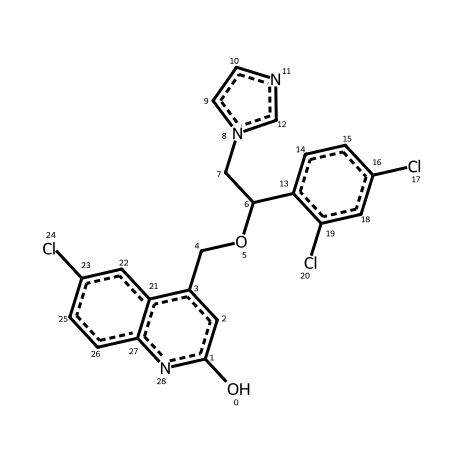 Oc1cc(COC(Cn2ccnc2)c2ccc(Cl)cc2Cl)c2cc(Cl)ccc2n1